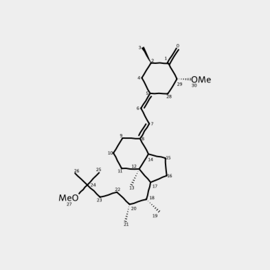 C=C1[C@H](C)C/C(=C/C=C2\CCC[C@@]3(C)C2CCC3[C@H](C)[C@H](C)CCC(C)(C)OC)C[C@H]1OC